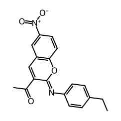 CCc1ccc(/N=c2\oc3ccc([N+](=O)[O-])cc3cc2C(C)=O)cc1